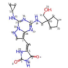 O=C1NC(=O)/C(=C/c2cnn3c(NC4CC4)nc(NCC4(CO)CCCC4)nc23)N1